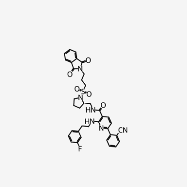 N#Cc1ccccc1-c1ccc(C(=O)NC[C@H]2CCCN2S(=O)(=O)CCCN2C(=O)c3ccccc3C2=O)c(NCCc2cccc(F)c2)n1